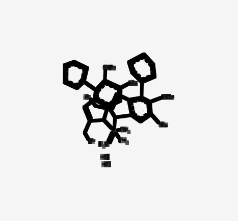 COc1c(C(C)(C)C)cc2c(c1-c1ccccc1)C=C(CC(C)C)[CH]2[Zr]([CH3])([CH3])(=[SiH2])[CH]1C(CC(C)C)=Cc2c1cc(C(C)(C)C)c(OC)c2-c1ccccc1.Cl.Cl